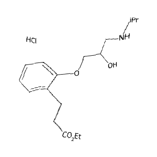 CCOC(=O)CCc1ccccc1OCC(O)CNC(C)C.Cl